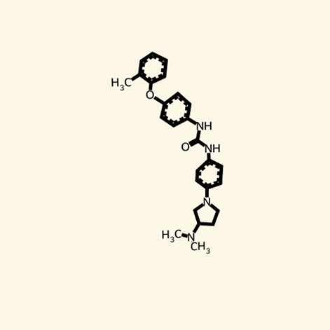 Cc1ccccc1Oc1ccc(NC(=O)Nc2ccc(N3CCC(N(C)C)C3)cc2)cc1